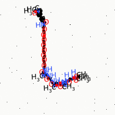 CC(=O)N1c2ccc(-c3ccc(C(=O)NCCOCCOCCOCCOCCOCCOCCOCCOCCNC(=O)c4nc(NC(=O)CCNC(=O)C5CC(NC(=O)c6nc(NC(=O)CCNC(=O)OC(C)(C)C)cn6C)=CN5C)cn4C)cc3)cc2CC[C@@H]1C